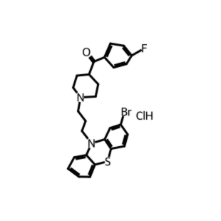 Cl.O=C(c1ccc(F)cc1)C1CCN(CCCN2c3ccccc3Sc3ccc(Br)cc32)CC1